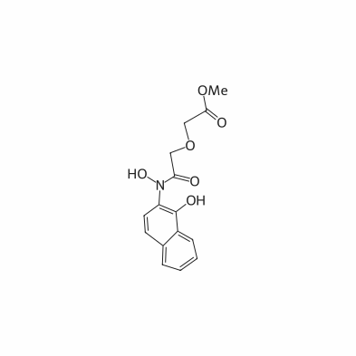 COC(=O)COCC(=O)N(O)c1ccc2ccccc2c1O